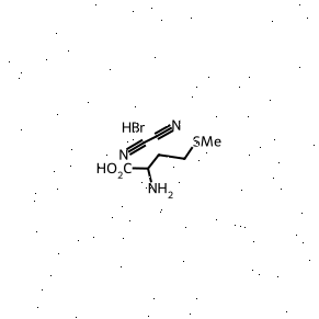 Br.CSCCC(N)C(=O)O.N#CC#N